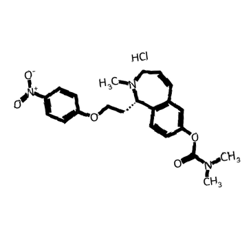 CN(C)C(=O)Oc1ccc2c(c1)C=CCN(C)[C@H]2CCOc1ccc([N+](=O)[O-])cc1.Cl